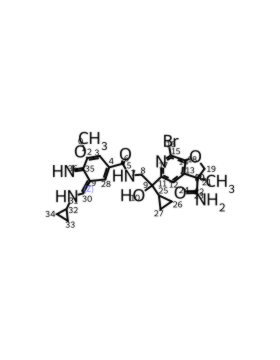 COC1=CC(C(=O)NCC(O)(c2cc3c(c(Br)n2)OC[C@]3(C)C(N)=O)C2CC2)=C/C(=C/NC2CC2)C1=N